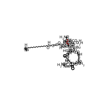 CCCC[C@H](NC(=O)[C@H](CN(CC(=O)O)CC(=O)O)NC(=O)[C@H](Cc1c[nH]cn1)NC(=O)[C@H](CCC(N)=O)NC(=O)[C@H](CO)NC(=O)CNC(=O)COCCOCCNC(=O)CCCCCCCCCCCCCCCc1nnn[nH]1)C(=O)N[C@H]1CCC(=O)NCCCC[C@@H](C(N)=O)NC(=O)[C@@H](Cc2c[nH]c3ccccc23)NC(=O)[C@H](CCCNC(=N)N)NC(=O)[C@@H](Cc2ccccc2)NC(=O)[C@@H]2C[C@@H](O)CN2C1=O